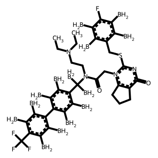 Bc1c(B)c(CSc2nc(=O)c3c(n2CC(=O)N(CCN(CC)CC)C(B)(B)c2c(B)c(B)c(-c4c(B)c(B)c(C(F)(F)F)c(B)c4B)c(B)c2B)CCC3)c(B)c(B)c1F